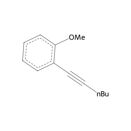 CCCCC#Cc1ccccc1OC